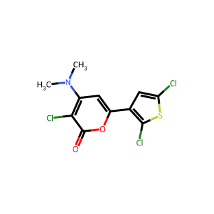 CN(C)c1cc(-c2cc(Cl)sc2Cl)oc(=O)c1Cl